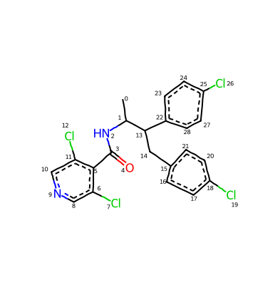 CC(NC(=O)c1c(Cl)cncc1Cl)C(Cc1ccc(Cl)cc1)c1ccc(Cl)cc1